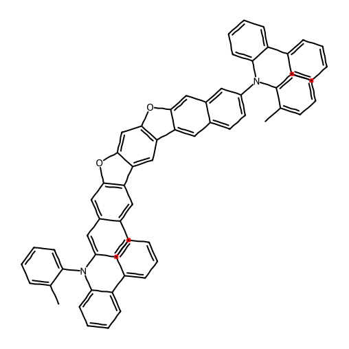 Cc1ccccc1N(c1ccc2cc3c(cc2c1)oc1cc2oc4cc5cc(N(c6ccccc6C)c6ccccc6-c6ccccc6)ccc5cc4c2cc13)c1ccccc1-c1ccccc1